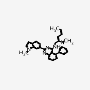 C=N/C(=C\C=C/C)CNc1nc(-c2ccc3ccn(C)c3c2)nc2cccc(-c3ccccc3)c12